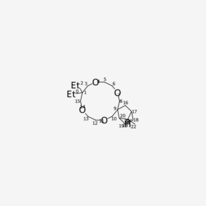 CCC1(CC)COCCOCC2(COCCOC1)CC1C=CC2[C@H]1C